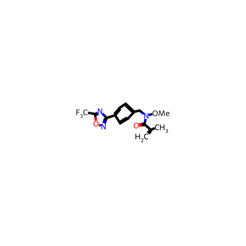 C=C(C)C(=O)N(Cc1ccc(-c2noc(C(F)(F)F)n2)cc1)OC